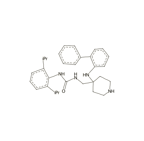 CC(C)c1cccc(C(C)C)c1NC(=O)NCC1(Nc2ccccc2-c2ccccc2)CCNCC1